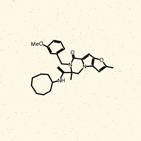 C=C(NC1CCCCCCC1)C1(C)Cn2c(cc3oc(C)cc32)C(=O)N1Cc1cccc(OC)c1